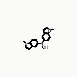 Cn1ccc2cc(B(O)c3ccc4c(ccn4C)c3)ccc21